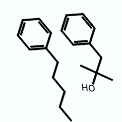 CC(C)(O)Cc1ccccc1.CCCCCc1ccccc1